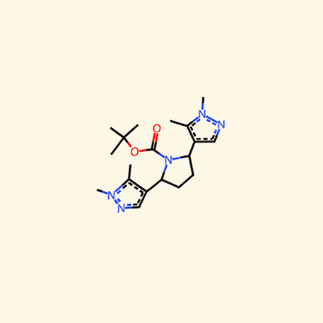 Cc1c(C2CCC(c3cnn(C)c3C)N2C(=O)OC(C)(C)C)cnn1C